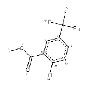 COC(=O)c1cc(C(F)(F)F)cnc1Cl